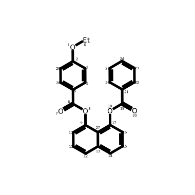 CCOc1ccc(C(=O)Oc2cccc3cccc(OC(=O)c4ccccc4)c23)cc1